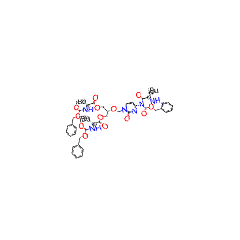 CC[C@H](C)[C@H](N)C(=O)N(C(=O)OCc1ccccc1)c1ccn(COC(COC(=O)[C@@H](NC(=O)OCc2ccccc2)[C@@H](C)CC)COC(=O)[C@@H](NC(=O)OCc2ccccc2)[C@@H](C)CC)c(=O)n1